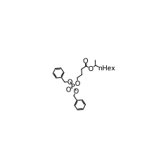 CCCCCCC(C)OC(=O)CCCOP(=O)(OCc1ccccc1)OCc1ccccc1